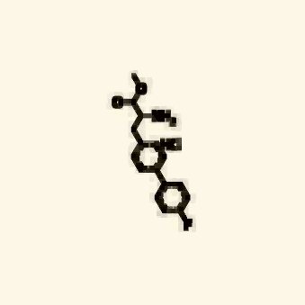 COC(=O)C(N)Cc1ccc(-c2ccc(F)cc2)cc1.Cl